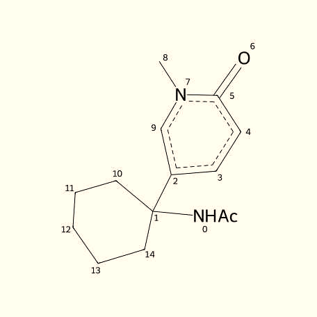 CC(=O)NC1(c2ccc(=O)n(C)c2)CCCCC1